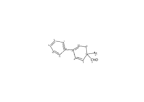 CC(=O)C1(C=O)C=CC(c2ccccc2)=CC1